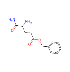 NC(=O)C(N)CCC(=O)OCc1ccccc1